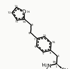 C[C@@H](N)Cc1ccc(CCc2ccco2)cc1